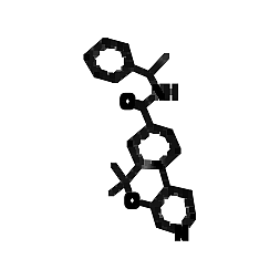 CC(NC(=O)c1ccc2c(c1)C(C)(C)Oc1cnccc1-2)c1ccccc1